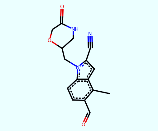 Cc1c(C=O)ccc2c1cc(C#N)n2CC1CNC(=O)CO1